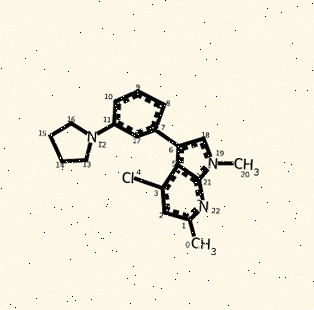 Cc1cc(Cl)c2c(-c3cccc(N4CCCC4)c3)cn(C)c2n1